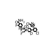 COc1cn(C(CC(F)F)C(=O)Nc2ccc(C(N)=O)c(F)c2)c(=O)cc1-c1cc(Cl)ccc1-n1cc(Cl)nn1